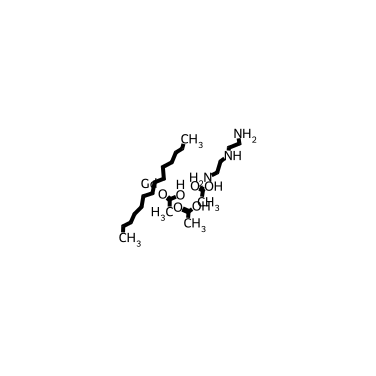 CC(=O)O.CC(=O)O.CC(=O)O.CCCCCCCCCCCCCC.NCCNCCN.[Gd]